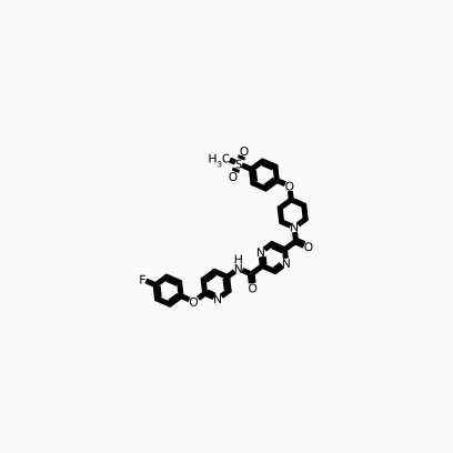 CS(=O)(=O)c1ccc(OC2CCN(C(=O)c3cnc(C(=O)Nc4ccc(Oc5ccc(F)cc5)nc4)cn3)CC2)cc1